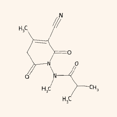 CC1=C(C#N)C(=O)N(N(C)C(=O)C(C)C)C(=O)C1